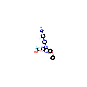 Nc1ncnc2c1c(-c1ccc(Oc3ccccc3)cc1)nn2C1CCN(C2CCN(C3CNC3)CC2F)CC1.O=C(O)C(F)(F)F